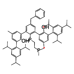 Cc1cc(-c2cc(Cc3ccccc3)cc(-c3cc(C)cc(-c4c(C(C)C)cc(C(C)C)cc4C(C)C)c3O)c2P(C)CCP(C)C)c(O)c(-c2c(C(C)C)cc(C(C)C)cc2C(C)C)c1